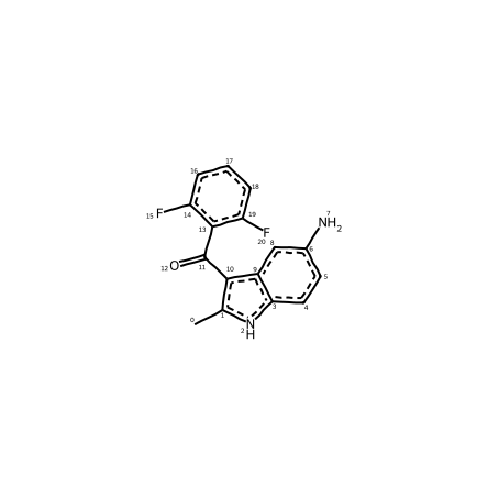 Cc1[nH]c2ccc(N)cc2c1C(=O)c1c(F)cccc1F